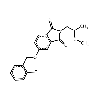 COC(C)CN1C(=O)c2ccc(OCc3ccccc3F)cc2C1=O